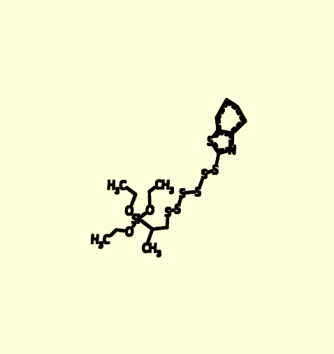 CCO[Si](OCC)(OCC)C(C)CSSSSSSc1nc2ccccc2s1